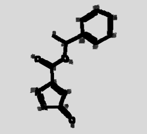 CC(OC(=O)C1=CC(=O)N=N1)c1ccccc1